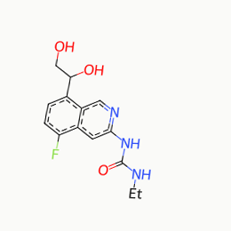 CCNC(=O)Nc1cc2c(F)ccc(C(O)CO)c2cn1